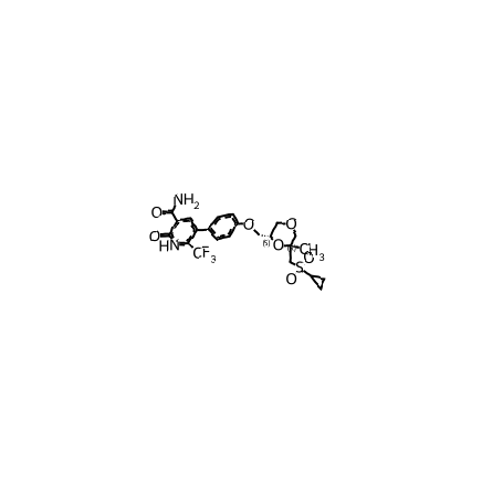 C[C@]1(CS(=O)(=O)C2CC2)COC[C@@H](COc2ccc(-c3cc(C(N)=O)c(=O)[nH]c3C(F)(F)F)cc2)O1